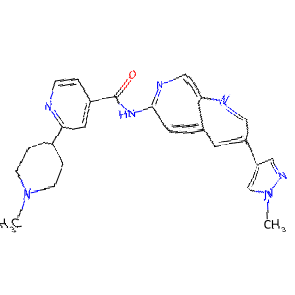 CN1CCC(c2cc(C(=O)Nc3cc4cc(-c5cnn(C)c5)cnc4cn3)ccn2)CC1